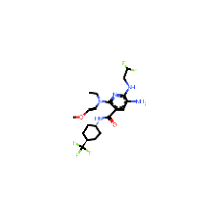 CCN(CCOC)c1nc(NCC(F)F)c(N)cc1C(=O)N[C@H]1CC[C@H](C(F)(F)F)CC1